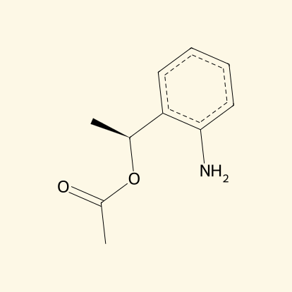 CC(=O)O[C@@H](C)c1ccccc1N